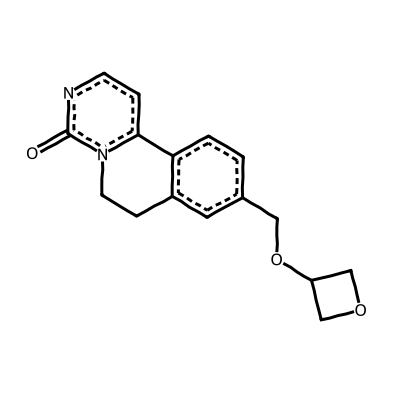 O=c1nccc2n1CCc1cc(COC3COC3)ccc1-2